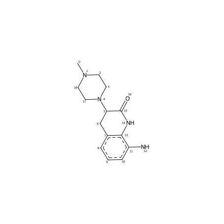 CN1CCN(C2Cc3cccc([NH])c3NC2=O)CC1